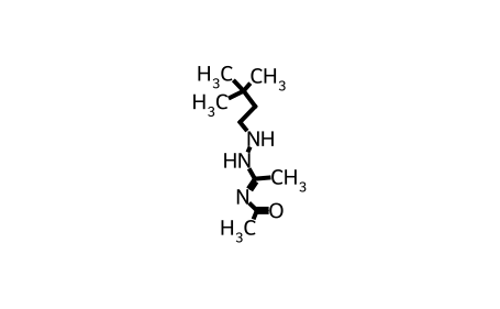 CC(=O)/N=C(\C)NNCCC(C)(C)C